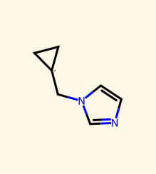 c1cn(C[C]2CC2)cn1